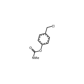 CNC(=O)Oc1ccc(CCl)cc1